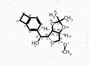 CO[C@@H]1O[C@H]([C@@H](O)c2ccc3c(c2)CC3)[C@H]2OC(C)(C)O[C@@H]12